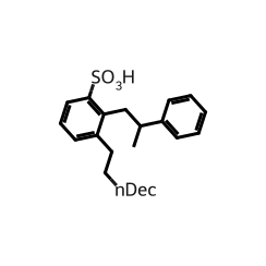 CCCCCCCCCCCCc1cccc(S(=O)(=O)O)c1CC(C)c1ccccc1